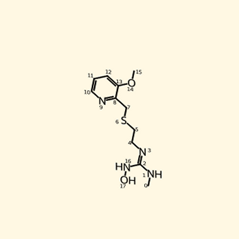 CN/C(=N/CCSCc1ncccc1OC)NO